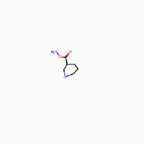 NOC(=O)C1CCC[N]C1